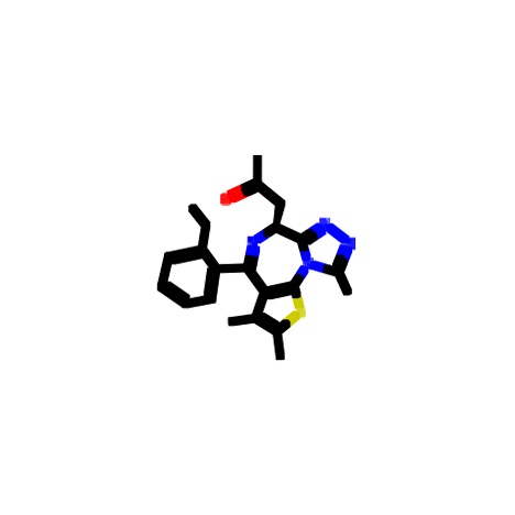 CCc1ccccc1C1=N[C@@H](CC(C)=O)c2nnc(C)n2-c2sc(C)c(C)c21